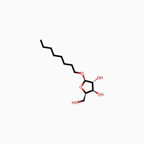 CCCCCCCCO[C@@H]1O[C@H](CO)[C@H](O)[C@H]1O